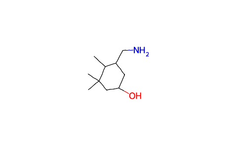 CC1C(CN)CC(O)CC1(C)C